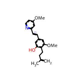 C=C(C)CCc1c(O)cc(/C=C/c2cc(OC)ccn2)cc1OC